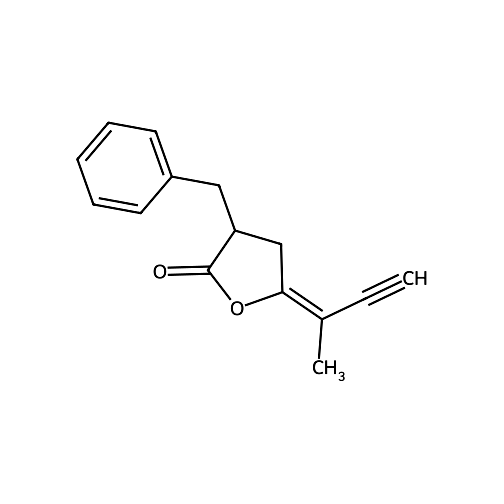 C#C/C(C)=C1\CC(Cc2ccccc2)C(=O)O1